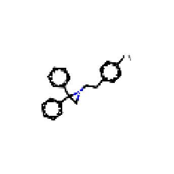 Cc1ccc(CCN2CC2(c2ccccc2)c2ccccc2)cc1